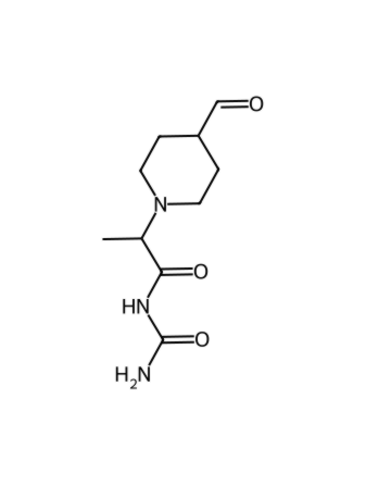 CC(C(=O)NC(N)=O)N1CCC(C=O)CC1